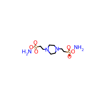 NOS(=O)(=O)CCN1CCN(CCS(=O)(=O)ON)CC1